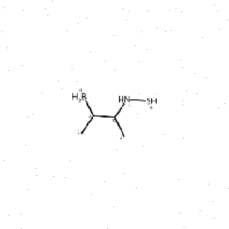 BC(C)C(C)NS